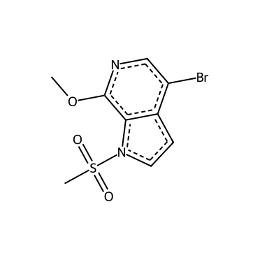 COc1ncc(Br)c2ccn(S(C)(=O)=O)c12